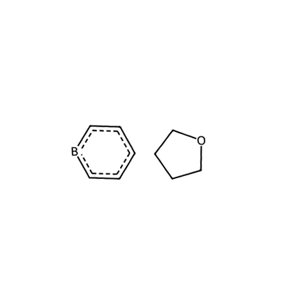 C1CCOC1.b1ccccc1